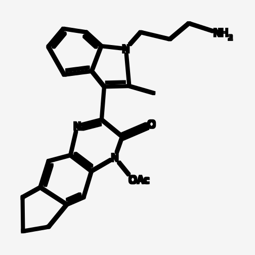 CC(=O)On1c(=O)c(-c2c(C)n(CCCN)c3ccccc23)nc2cc3c(cc21)CCC3